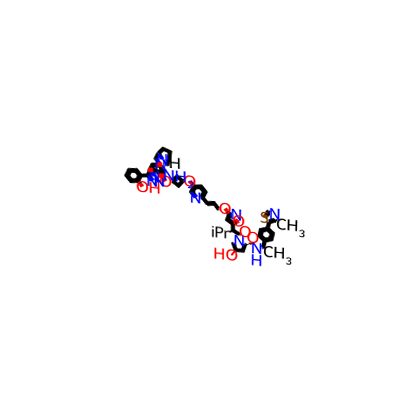 Cc1ncsc1-c1ccc([C@H](C)NC(=O)[C@@H]2C[C@@H](O)CN2C(=O)[C@H](c2cc(OC/C=C/c3ccc(OC4CC(Oc5cc(N6C7CC[C@@H]6CN(c6cc(-c8ccccc8O)nnc6N)C7)ccn5)C4)cn3)no2)C(C)C)cc1